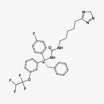 O=C(NCCCCCC1=NCN=N1)N[C@](Cc1ccccc1)(c1ccc(F)cc1)c1cccc(OC(F)(F)C(F)F)c1